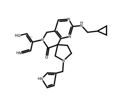 N=C/C(=C\O)N1Cc2cnc(NCC3CC3)nc2C2(CCN(Cc3cc[nH]c3)C2)C1=O